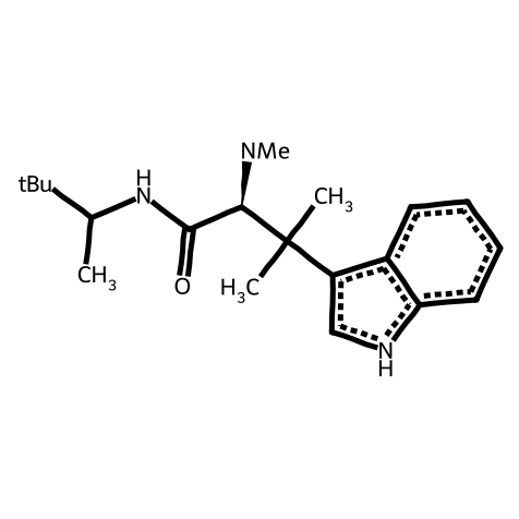 CN[C@H](C(=O)NC(C)C(C)(C)C)C(C)(C)c1c[nH]c2ccccc12